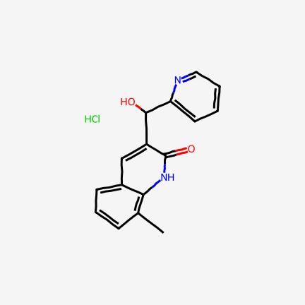 Cc1cccc2cc(C(O)c3ccccn3)c(=O)[nH]c12.Cl